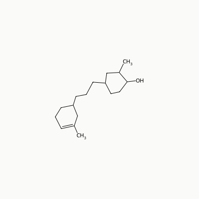 CC1=CCCC(CCCC2CCC(O)C(C)C2)C1